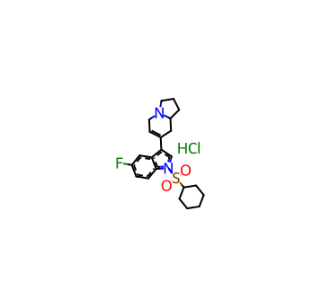 Cl.O=S(=O)(C1CCCCC1)n1cc(C2=CCN3CCCC3C2)c2cc(F)ccc21